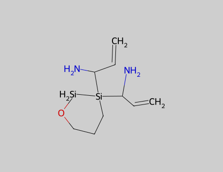 C=CC(N)[Si]1(C(N)C=C)CCCO[SiH2]1